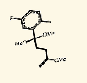 C=C(CCC(OC)(OC)c1cc(F)ccc1C)OC